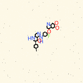 COc1cc2nccc(Oc3ccc(Nc4nccc5[nH]cc(-c6ccc(C)cc6)c(=O)c45)cc3F)c2cc1OC